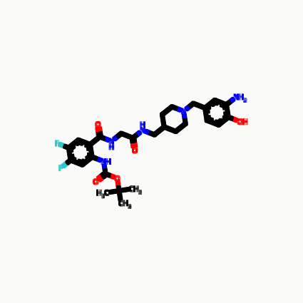 CC(C)(C)OC(=O)Nc1cc(F)c(F)cc1C(=O)NCC(=O)NCC1CCN(Cc2ccc(O)c(N)c2)CC1